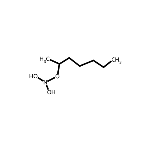 CCCCCC(C)ON(O)O